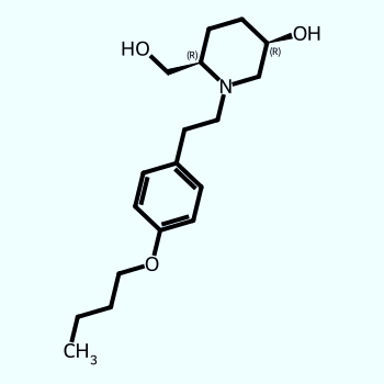 CCCCOc1ccc(CCN2C[C@H](O)CC[C@@H]2CO)cc1